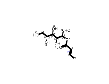 C/C=C/C(=O)O[C@H](C=O)[C@@H](O)[C@H](O)[C@H](O)CO